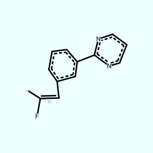 [CH2]/C(F)=C\c1cccc(-c2ncccn2)c1